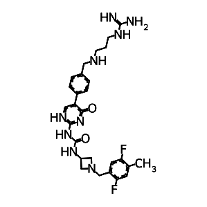 Cc1cc(F)c(CN2CC(NC(=O)Nc3nc(=O)c(-c4ccc(CNCCCNC(=N)N)cc4)c[nH]3)C2)cc1F